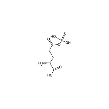 N[C@@H](CCC(=O)OP(O)(O)=S)C(=O)O